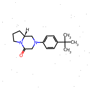 CC(C)(C)c1ccc(N2CC(=O)N3CCC[C@@H]3C2)cc1